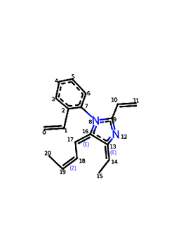 C=Cc1ccccc1-n1c(C=C)nc(=C/C)/c1=C\C=C/C